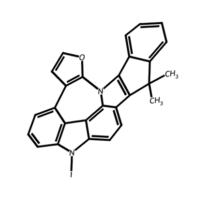 CC1(C)c2ccccc2-c2c1c1ccc3c4c5c(cccc5n3I)c3ccoc3n2c14